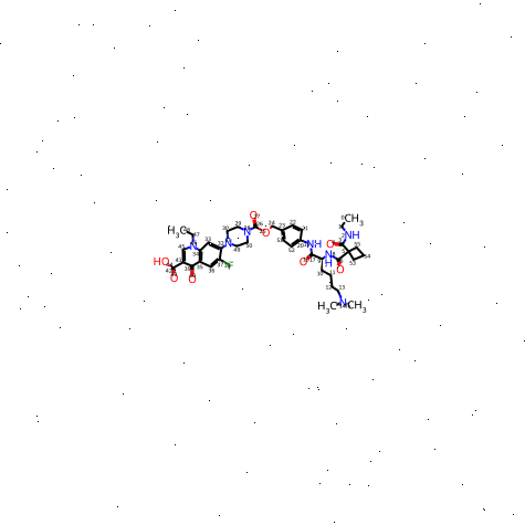 CCNC(=O)C1(C(=O)N[C@@H](CCCCN(C)C)C(=O)Nc2ccc(COC(=O)N3CCN(c4cc5c(cc4F)c(=O)c(C(=O)O)cn5CC)CC3)cc2)CCC1